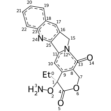 CC[C@@]1(ON)C(=O)OCc2c1cc1n(c2=O)Cc2cc3ccccc3nc2-1